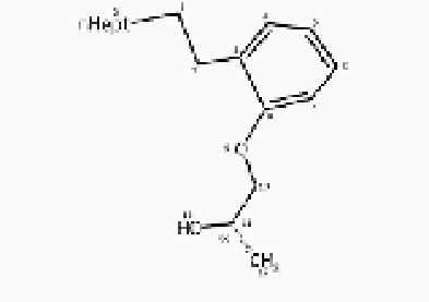 CCCCCCCCCc1ccccc1OC[C@H](C)O